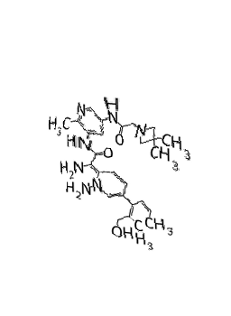 C/C=C\C(C1=CN(N)/C(=C(\N)C(=O)Nc2cc(NC(=O)CN3CC(C)(C)C3)cnc2C)C=C1)=C(/C)CO